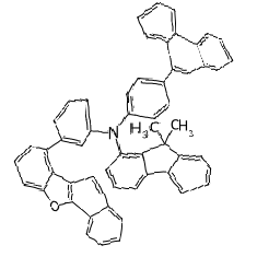 CC1(C)c2ccccc2-c2cccc(N(c3ccc(-c4cc5ccccc5c5ccccc45)cc3)c3cccc(-c4cccc5oc6c7ccccc7ccc6c45)c3)c21